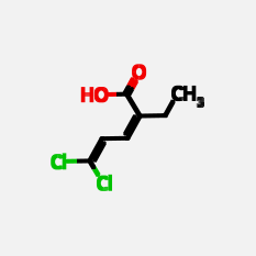 CCC(=CC=C(Cl)Cl)C(=O)O